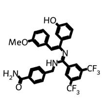 COc1cccc(/C=C(/N=C(\NCC2=C=C=C(C(N)=O)C=C2)c2cc(C(F)(F)F)cc(C(F)(F)F)c2)c2cccc(O)c2)c1